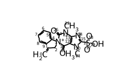 C=CC[N+]1(c2ccccc2)C(=O)c2c(nc(S(=O)(=O)O)n2C)N(C)C1=O